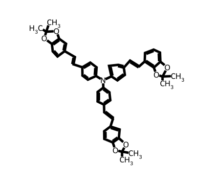 CC1(C)Oc2ccc(/C=C/c3ccc(N(c4ccc(/C=C/c5ccc6c(c5)OC(C)(C)O6)cc4)c4ccc(/C=C/c5cccc6c5OC(C)(C)O6)cc4)cc3)cc2O1